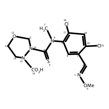 CON=Cc1cc(N(C)C(=S)N2COCCN2C(=O)O)c(Cl)cc1Cl